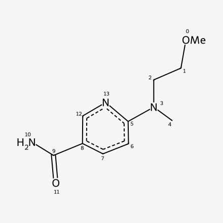 COCCN(C)c1ccc(C(N)=O)cn1